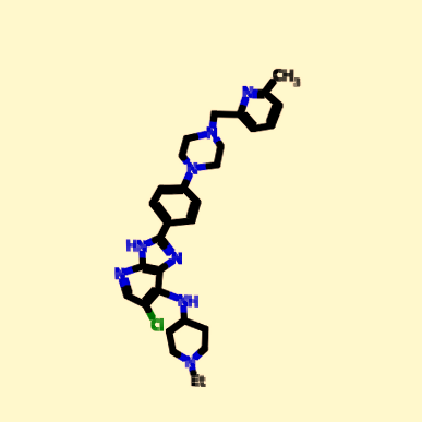 CCN1CCC(Nc2c(Cl)cnc3[nH]c(-c4ccc(N5CCN(Cc6cccc(C)n6)CC5)cc4)nc23)CC1